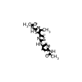 CC(=O)Nc1ccc(Nc2nc(-c3sc(NC(C)=O)nc3C)cs2)cn1